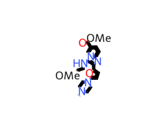 COCCNc1c(-c2ccc(N3CCN(C)CC3)o2)nc2ccc(C(=O)OC)cn12